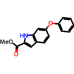 COC(=O)c1cc2ccc(Oc3ccccc3)cc2[nH]1